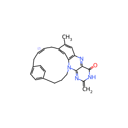 C=c1nc2c(c(=O)[nH]1)=Nc1cc(C)c3cc1N2CCCc1ccc(cc1)C/C=C\C3